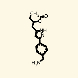 CCC(Cc1cc(-c2ccc(CN)cc2)n[nH]1)OC=O